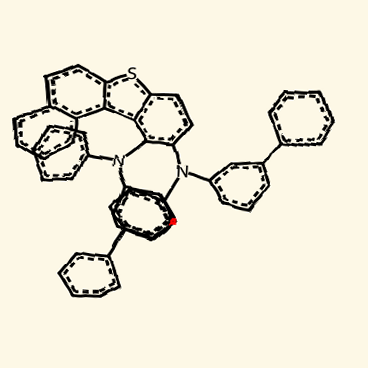 c1ccc(-c2cccc(N(c3ccccc3)c3ccc4sc5ccc6ccccc6c5c4c3N(c3ccccc3)c3cccc(-c4ccccc4)c3)c2)cc1